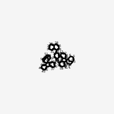 CCC1CC2CCCC(C2)C12c1ccccc1-c1c(N(c3ccc(-c4cccc5ccccc45)cc3)c3ccc4c(c3)C3(c5ccccc5-4)C4CC5CC(C4)CC3C5)cccc12